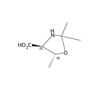 C[C@H]1OC(C)(C)N[C@@H]1C(=O)O